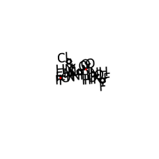 COC(=O)[C@H](CCNC(=O)C(=O)Nc1cc(F)cc(F)c1)NC(=O)c1ccc(Nc2nc(NC3(c4ccc(Cl)cc4)CC3)nc(OCC(F)(F)F)n2)cc1